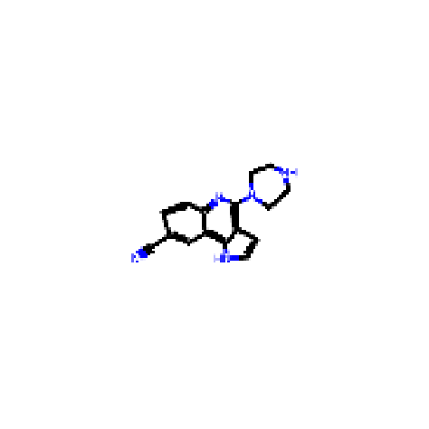 N#Cc1ccc2nc(N3CCNCC3)c3cc[nH]c3c2c1